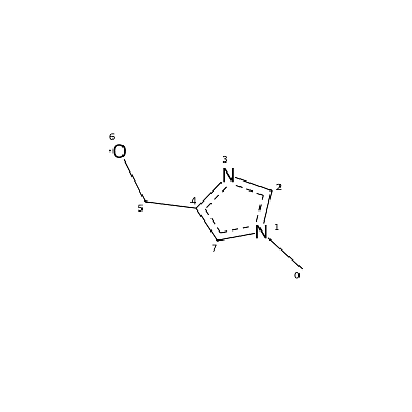 Cn1cnc(C[O])c1